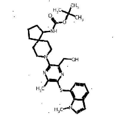 Cc1nc(N2CCC3(CCCC3NC(=O)OC(C)(C)C)CC2)c(CO)nc1Sc1cccc2ccn(C)c12